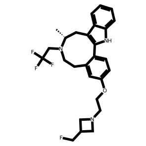 C[C@@H]1Cc2c([nH]c3ccccc23)-c2ccc(OCCN3CC(CF)C3)cc2CCN1CC(F)(F)F